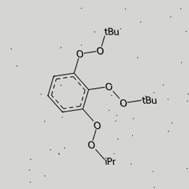 CC(C)OOc1cccc(OOC(C)(C)C)c1OOC(C)(C)C